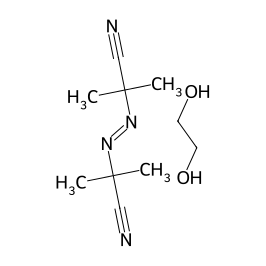 CC(C)(C#N)N=NC(C)(C)C#N.OCCO